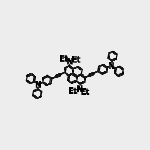 CCN(CC)c1cc(C#Cc2ccc(N(c3ccccc3)c3ccccc3)cc2)c2ccc3c(N(CC)CC)cc(C#Cc4ccc(N(c5ccccc5)c5ccccc5)cc4)c4ccc1c2c43